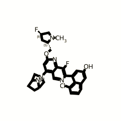 CN1C[C@H](F)C[C@H]1COc1cc(N2CC3CCC(C2)N3)c2cnc(-c3cc(O)cc4cccc(Cl)c34)c(F)c2n1